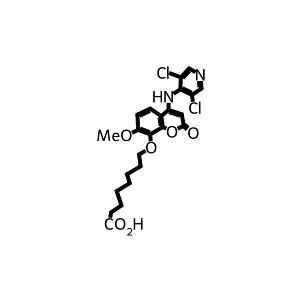 COc1ccc2c(Nc3c(Cl)cncc3Cl)cc(=O)oc2c1OCCCCCCCC(=O)O